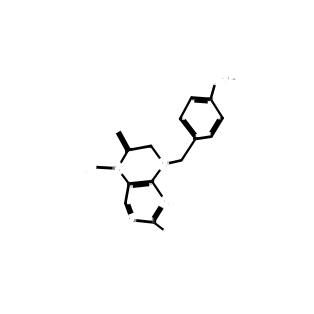 COc1ccc(CN2CC(=O)N(C)c3cnc(Cl)nc32)cc1